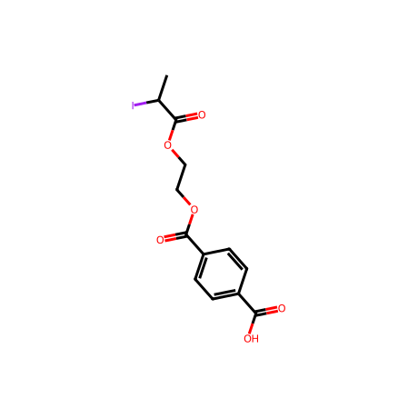 CC(I)C(=O)OCCOC(=O)c1ccc(C(=O)O)cc1